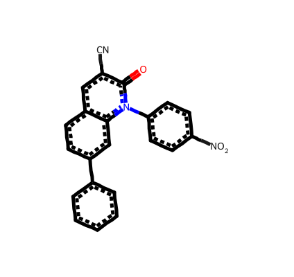 N#Cc1cc2ccc(-c3ccccc3)cc2n(-c2ccc([N+](=O)[O-])cc2)c1=O